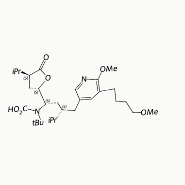 COCCCCc1cc(C[C@@H](C[C@@H]([C@@H]2C[C@@H](C(C)C)C(=O)O2)N(C(=O)O)C(C)(C)C)C(C)C)cnc1OC